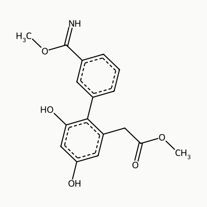 COC(=N)c1cccc(-c2c(O)cc(O)cc2CC(=O)OC)c1